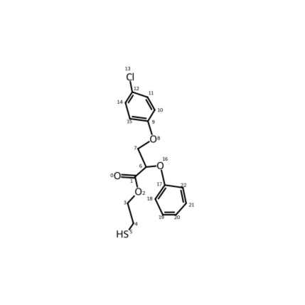 O=C(OCCS)C(COc1ccc(Cl)cc1)Oc1ccccc1